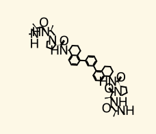 CN[C@@H](C)C(=O)N[C@@H](C)C(=O)N1CCC[C@H]1C(=O)N[C@@H]1CCCc2c(-c3cccc(-c4cccc5c4CCC[C@H]5NC(=O)[C@@H]4CCCN4C[C@H](C)NC(=O)[C@H](C)NC)c3)cccc21